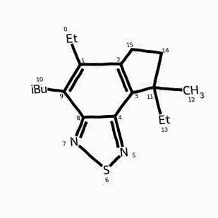 CCc1c2c(c3nsnc3c1C(C)CC)C(C)(CC)CC2